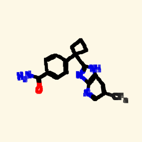 NC(=O)c1ccc(C2(c3nc4ncc(C(F)(F)F)cc4[nH]3)CCC2)cc1